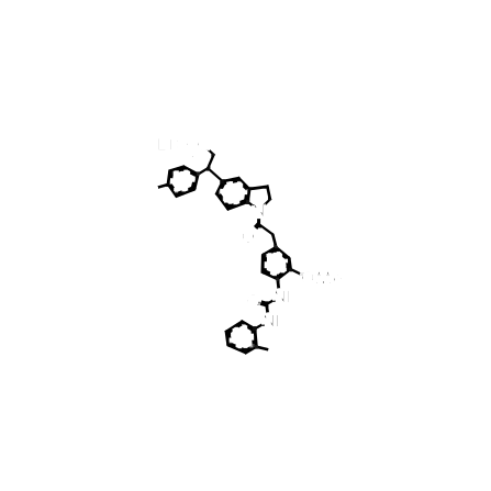 CCOC(=O)CC(c1ccc(F)cc1)c1ccc2c(c1)CCN2C(=O)Cc1ccc(NC(=O)Nc2ccccc2C)c(OC)c1